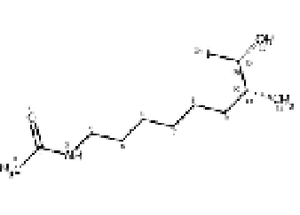 CC(=O)NCCCCCC[C@@H](C)[C@@H](O)I